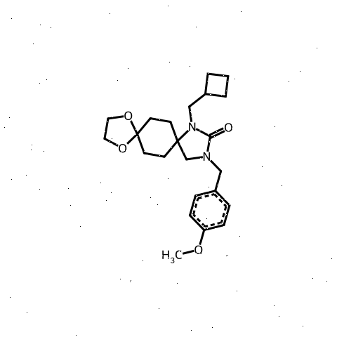 COc1ccc(CN2CC3(CCC4(CC3)OCCO4)N(CC3CCC3)C2=O)cc1